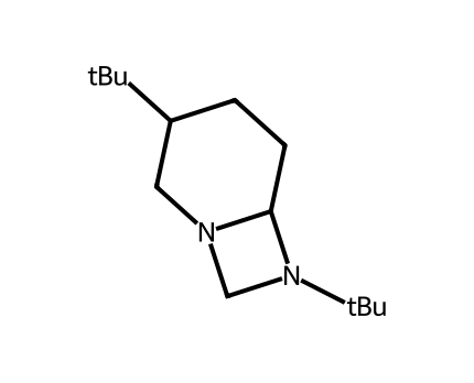 CC(C)(C)C1CCC2N(C1)CN2C(C)(C)C